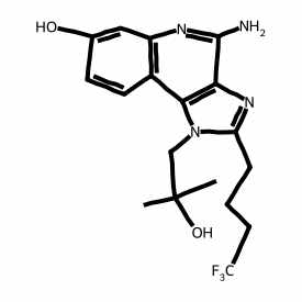 CC(C)(O)Cn1c(CCCC(F)(F)F)nc2c(N)nc3cc(O)ccc3c21